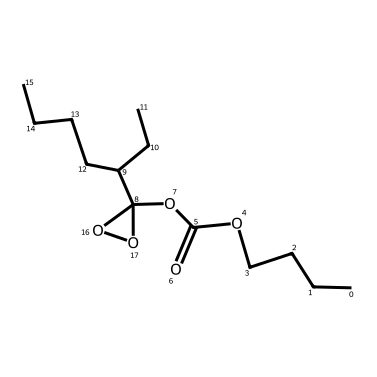 CCCCOC(=O)OC1(C(CC)CCCC)OO1